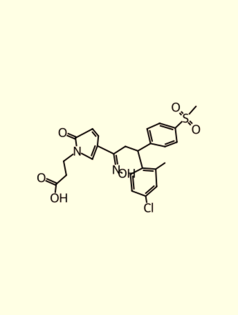 Cc1cc(Cl)ccc1C(C/C(=N\O)c1ccc(=O)n(CCC(=O)O)c1)c1ccc(S(C)(=O)=O)cc1